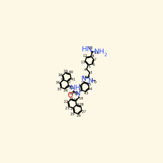 Cn1c(CCc2ccc(C(=N)N)cc2)nc2cc(N(Cc3cccc4ccccc34)C(=O)Nc3cccc4ccccc34)ccc21